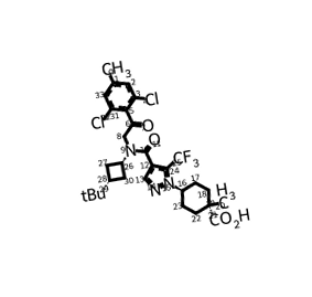 Cc1cc(Cl)c(C(=O)CN(C(=O)c2cnn([C@H]3CC[C@](C)(C(=O)O)CC3)c2C(F)(F)F)[C@H]2C[C@@H](C(C)(C)C)C2)c(Cl)c1